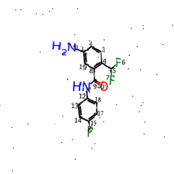 Nc1ccc(C(F)F)c(C(=O)Nc2ccc(F)cc2)c1